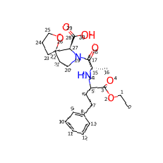 CCOC(=O)C(CCc1ccccc1)N[C@@H](C)C(=O)N1CCC2(CCCO2)[C@H]1C(=O)O